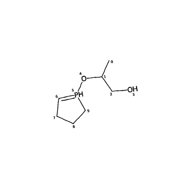 CC(CO)O[PH]1=CCCC1